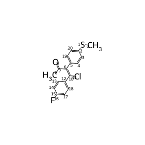 CSc1ccc(C(C(C)=O)=C(Cl)c2ccc(F)cc2)cc1